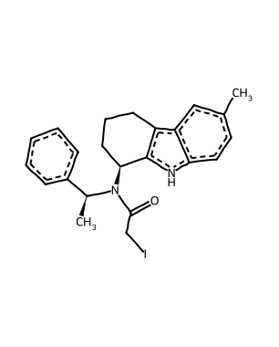 Cc1ccc2[nH]c3c(c2c1)CCC[C@@H]3N(C(=O)CI)[C@@H](C)c1ccccc1